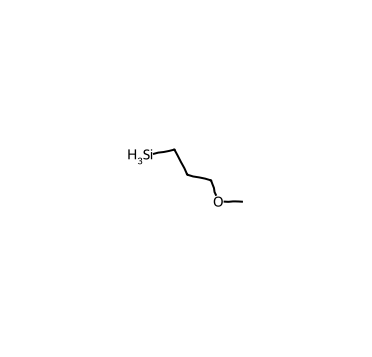 COCCC[SiH3]